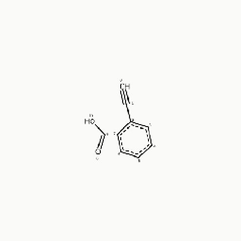 C#Cc1ccccc1.O=CO